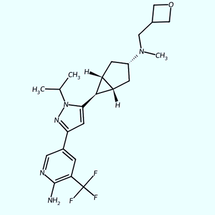 CC(C)n1nc(-c2cnc(N)c(C(F)(F)F)c2)cc1[C@H]1[C@@H]2C[C@H](N(C)CC3COC3)C[C@@H]21